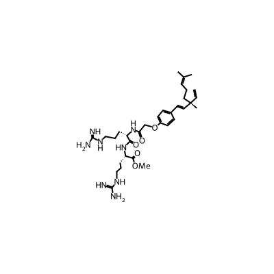 C=C[C@](C)(/C=C/c1ccc(OCC(=O)N[C@@H](CCCNC(=N)N)C(=O)N[C@@H](CCCNC(=N)N)C(=O)OC)cc1)CCC=C(C)C